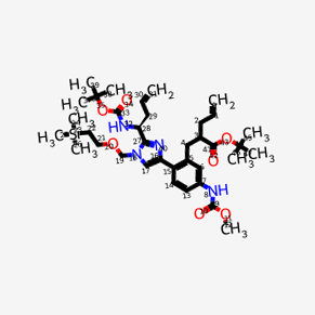 C=CCC(Cc1cc(NC(=O)OC)ccc1-c1cn(COCC[Si](C)(C)C)c([C@H](CC=C)NC(=O)OC(C)(C)C)n1)C(=O)OC(C)(C)C